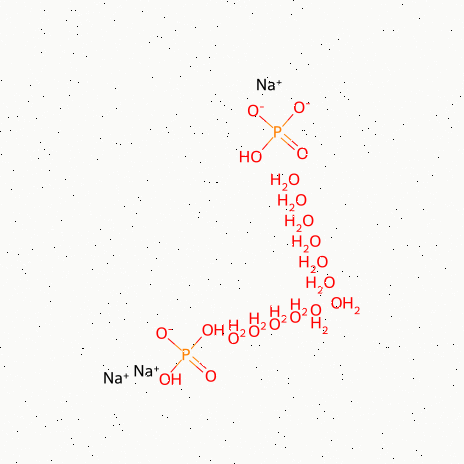 O.O.O.O.O.O.O.O.O.O.O.O.O=P([O-])(O)O.O=P([O-])([O-])O.[Na+].[Na+].[Na+]